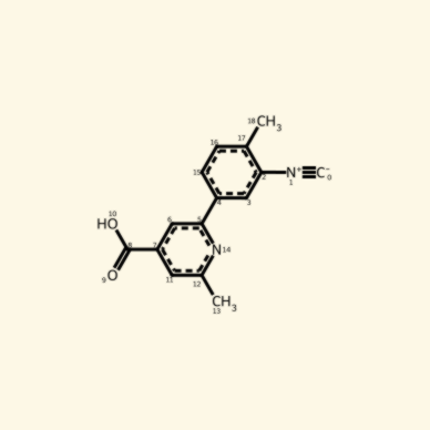 [C-]#[N+]c1cc(-c2cc(C(=O)O)cc(C)n2)ccc1C